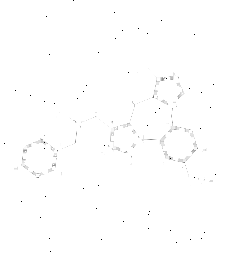 CCOC(=O)c1ncn2c1Cc1c(CN(C)Cc3ccccc3)nnn1-c1cc(OC)ccc1-2